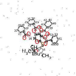 C=CCC(CO[Si](C)(C)C(C)(C)C)S[C@H]1O[C@H](COC(=O)c2ccccc2)[C@H](OC(=O)c2ccccc2)[C@H](OC(=O)c2ccccc2)[C@H]1OC(=O)c1ccccc1